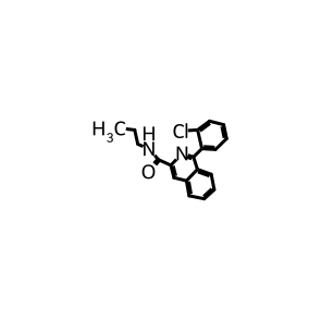 CCCNC(=O)c1cc2ccccc2c(-c2ccccc2Cl)n1